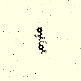 CCN(CC)c1ccc(CN(N)CC(O)C(N)Cc2ccccc2)cc1